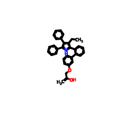 C=C(O)COc1cccc(-c2ccccc2-c2[nH]c(-c3ccccc3)c(-c3ccccc3)c2CC)c1